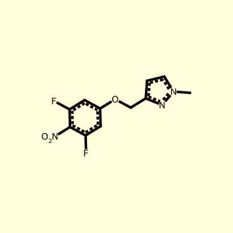 Cn1ccc(COc2cc(F)c([N+](=O)[O-])c(F)c2)n1